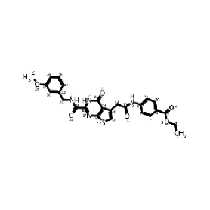 CCOC(=O)c1ccc(NC(=O)Cc2csc3nc(C(=O)NCc4cccc(OC)c4)[nH]c(=O)c23)cc1